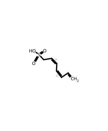 C=C/C=C\C=C/CS(=O)(=O)O